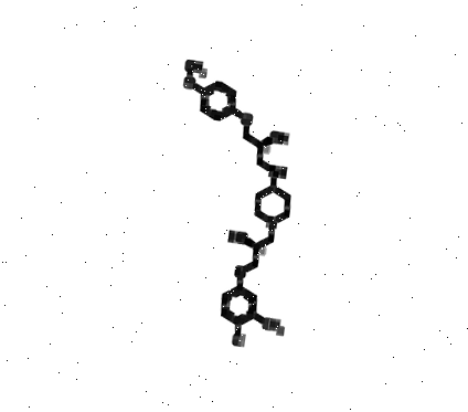 COc1ccc(OC[C@@H](O)CNC2CCN(C[C@H](O)COc3ccc(Cl)c(C)c3)CC2)cc1